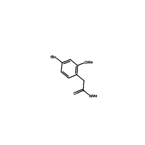 CNC(=O)Cc1ccc(C(C)(C)C)cc1OC